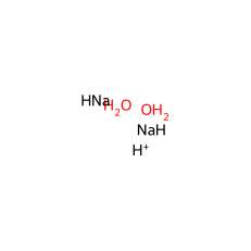 O.O.[H+].[NaH].[NaH]